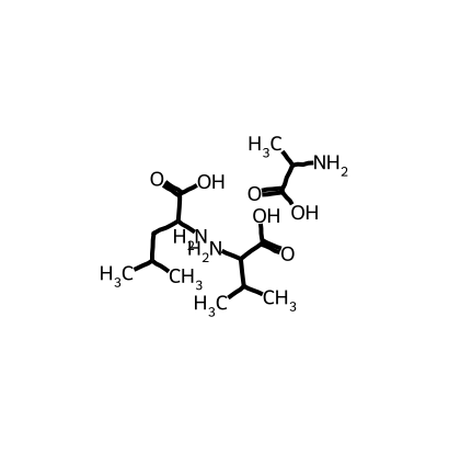 CC(C)C(N)C(=O)O.CC(C)CC(N)C(=O)O.CC(N)C(=O)O